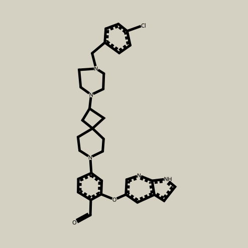 O=Cc1ccc(N2CCC3(CC2)CC(N2CCN(Cc4ccc(Cl)cc4)CC2)C3)cc1Oc1cnc2[nH]ccc2c1